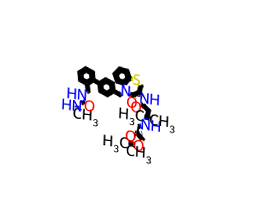 CNC(=O)NCc1ccccc1-c1ccc(CN2C(=O)[C@H](NC(=O)CC(C)(C)NC[C@H]3COC(C)(C)O3)CSc3ccccc32)cc1